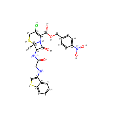 O=C(CNc1csc2ccccc12)NC1C(=O)N2C(C(=O)OCc3ccc([N+](=O)[O-])cc3)=C(Cl)CS[C@@H]12